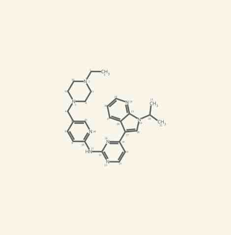 CCN1CCN(Cc2ccc(Nc3nccc(-c4cn(C(C)C)c5ncccc45)n3)nc2)CC1